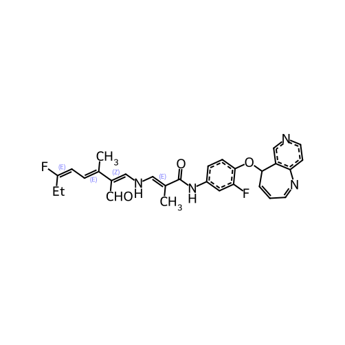 CC\C(F)=C/C=C(C)/C(C=O)=C/N/C=C(\C)C(=O)Nc1ccc(OC2C=CC=Nc3ccncc32)c(F)c1